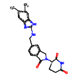 O=C1CCC(N2Cc3cc(CNc4nc5cc(C(F)(F)F)c(C(F)(F)F)cc5[nH]4)ccc3C2=O)C(=O)N1